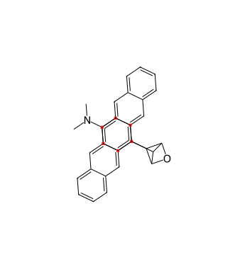 CN(C)c1ccc(C2C3OC2C3c2cccc3cc4ccccc4cc23)c2cc3ccccc3cc12